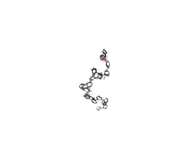 c1ccc(-c2cccc3c2sc2c(-c4cccc(-c5cccc6c5sc5c(-c7ccc8c9ccc(-c%10ccc%11c%12ccccc%12c%12cc(-c%13cccc(-c%14cccc(-c%15cccc%16c%15sc%15ccccc%15%16)c%14)c%13)ncc%12c%11c%10)cc9c9ccccc9c8c7)cccc56)c4)cccc23)cc1